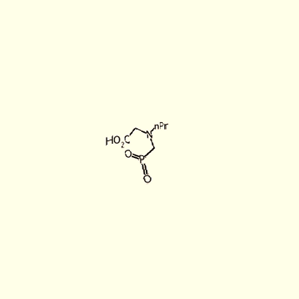 CCCN(CC(=O)O)CP(=O)=O